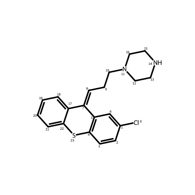 Clc1ccc2c(c1)C(=CCCN1CCNCC1)c1ccccc1S2